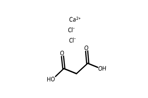 O=C(O)CC(=O)O.[Ca+2].[Cl-].[Cl-]